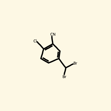 N#Cc1cc(C(Br)Br)ccc1Cl